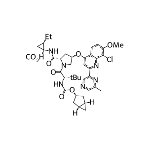 CC[C@@H]1C[C@]1(NC(=O)[C@@H]1C[C@@H](Oc2cc(-c3cncc(C)n3)nc3c(Cl)c(OC)ccc23)CN1C(=O)[C@@H](NC(=O)O[C@H]1C[C@@H]2C[C@@H]2C1)C(C)(C)C)C(=O)O